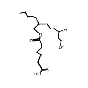 CC(O)CCO.CCCCC(CC)COC(=O)CCCCC(=O)O